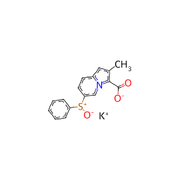 Cc1cc2ccc([S+]([O-])c3ccccc3)cn2c1C(=O)[O-].[K+]